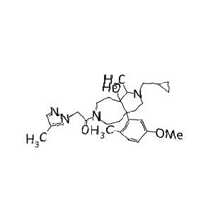 COc1ccc(C)c(C23CCN(C(=O)Cn4cc(C)cn4)CCC2(O)C(C)N(CC2CC2)CC3)c1